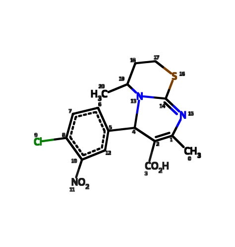 CC1=C(C(=O)O)C(c2ccc(Cl)c([N+](=O)[O-])c2)N2C(=N1)SCCC2C